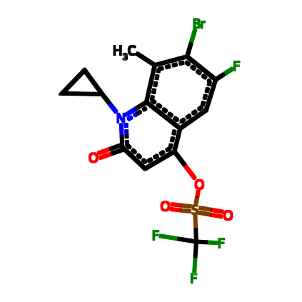 Cc1c(Br)c(F)cc2c(OS(=O)(=O)C(F)(F)F)cc(=O)n(C3CC3)c12